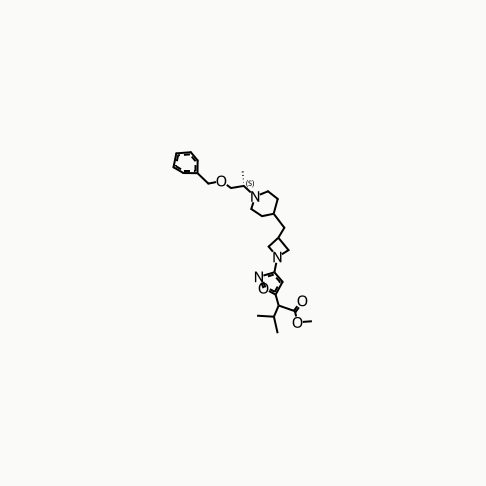 COC(=O)C(c1cc(N2CC(CC3CCN([C@@H](C)COCc4ccccc4)CC3)C2)no1)C(C)C